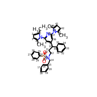 Cc1ccc(C)n1-c1cc(C(CCN(Cc2ccccc2)S(=O)(=O)c2ccccc2)c2ccccc2)cc(-n2c(C)ccc2C)n1